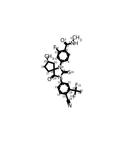 CNC(=O)c1ccc(N2C(=S)N(c3ccc(C#N)c(C(F)(F)F)c3)C(=O)C23CC[C@@H](C)C3)cc1F